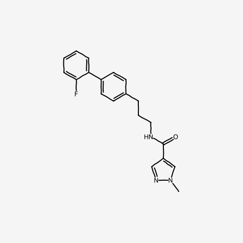 Cn1cc(C(=O)NCCCc2ccc(-c3ccccc3F)cc2)cn1